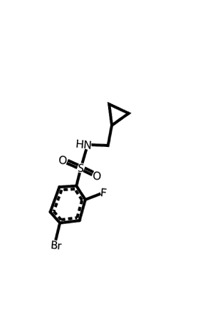 O=S(=O)(NCC1CC1)c1ccc(Br)cc1F